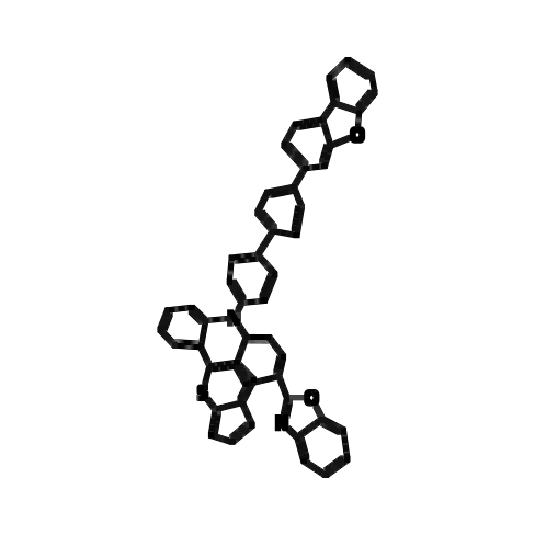 c1cc2ccc(-c3ccccc3N(c3ccc(-c4ccc(-c5ccc6c(c5)oc5ccccc56)cc4)cc3)c3ccc(-c4nc5ccccc5o4)cc3)sc-2c1